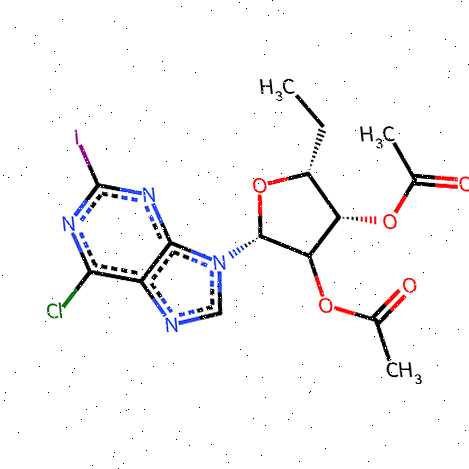 CC[C@H]1O[C@@H](n2cnc3c(Cl)nc(I)nc32)C(OC(C)=O)[C@H]1OC(C)=O